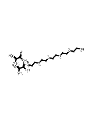 C=C(C)C(=O)O.C=C(C)C(=O)O.OCCOCCOCCOCCOCCO